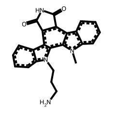 Cn1c2ccccc2c2c3c(c4c5ccccc5n(CCCN)c4c21)C(=O)NC3=O